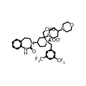 O=CCC1(N2CCC(N3CCOCC3)CC2)CC(N2CCc3ccccc3NC2=O)CC[N@+]1(Cc1cc(C(F)(F)F)cc(C(F)(F)F)c1)C(=O)[O-]